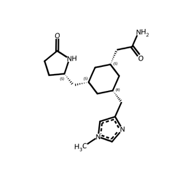 Cn1cnc(C[C@H]2C[C@@H](CC(N)=O)C[C@@H](C[C@@H]3CCC(=O)N3)C2)c1